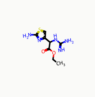 CCOC(=O)C(NC(=N)N)c1csc(N)n1